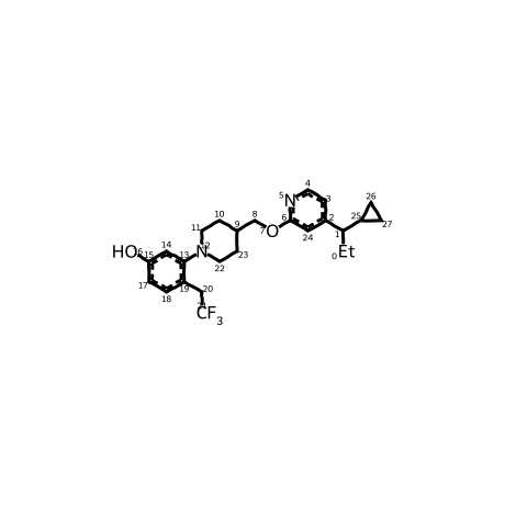 CCC(c1ccnc(OCC2CCN(c3cc(O)ccc3CC(F)(F)F)CC2)c1)C1CC1